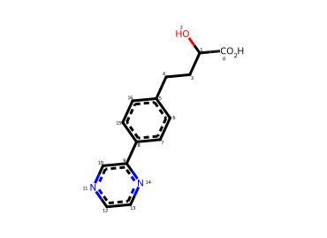 O=C(O)C(O)CCc1ccc(-c2cnccn2)cc1